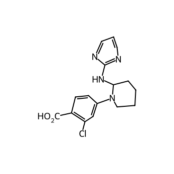 O=C(O)c1ccc(N2CCCCC2Nc2ncccn2)cc1Cl